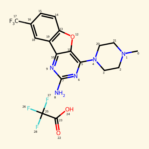 CN1CCN(c2nc(N)nc3c2oc2ccc(C(F)(F)F)cc23)CC1.O=C(O)C(F)(F)F